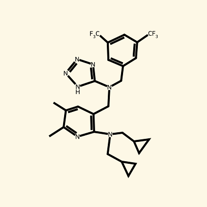 Cc1cc(CN(Cc2cc(C(F)(F)F)cc(C(F)(F)F)c2)c2nnn[nH]2)c(N(CC2CC2)CC2CC2)nc1C